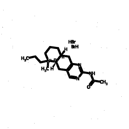 Br.Br.CCC[N+]1(C)CCC[C@@H]2Cc3nc(NC(C)=O)ncc3C[C@H]21